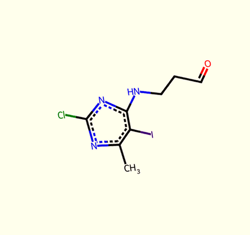 Cc1nc(Cl)nc(NCCC=O)c1I